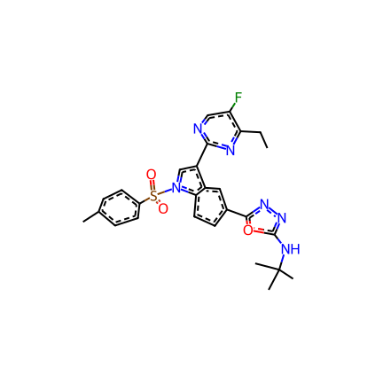 CCc1nc(-c2cn(S(=O)(=O)c3ccc(C)cc3)c3ccc(-c4nnc(NC(C)(C)C)o4)cc23)ncc1F